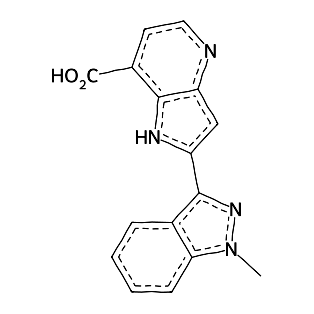 Cn1nc(-c2cc3nccc(C(=O)O)c3[nH]2)c2ccccc21